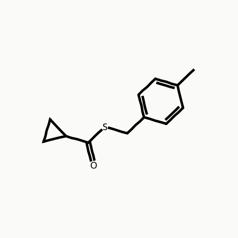 Cc1ccc(CSC(=O)C2CC2)cc1